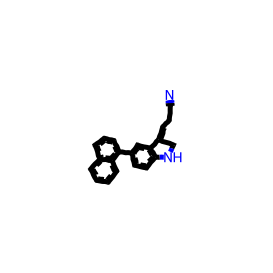 N#CCC=C1CNc2ccc(-c3cccc4ccccc34)cc21